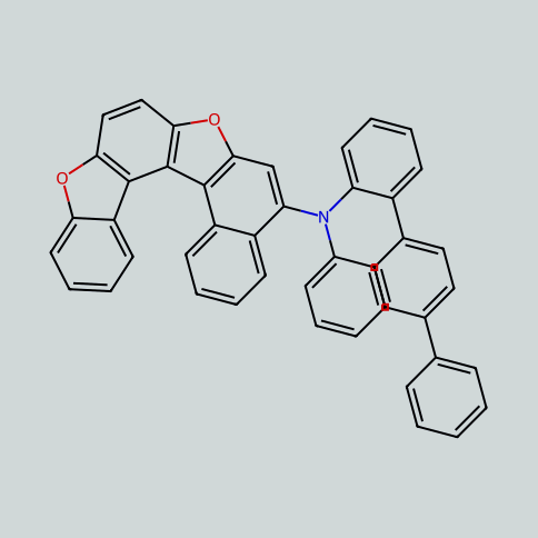 c1ccc(-c2ccc(-c3ccccc3N(c3ccccc3)c3cc4oc5ccc6oc7ccccc7c6c5c4c4ccccc34)cc2)cc1